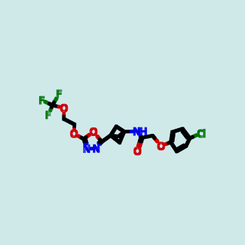 O=C(COc1ccc(Cl)cc1)NC12CC(c3nnc(OCCOC(F)(F)F)o3)(C1)C2